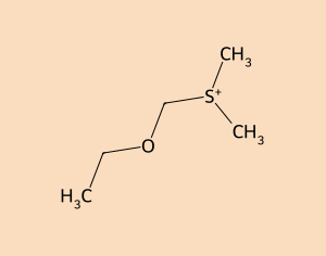 CCOC[S+](C)C